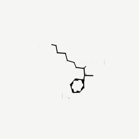 CCCCCCCCCCCCCCCCC(C(=O)O)C(C)c1ccc(O)cc1